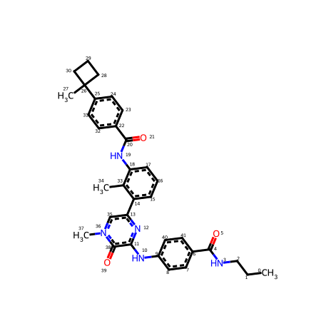 CCCNC(=O)c1ccc(Nc2nc(-c3cccc(NC(=O)c4ccc(C5(C)CCC5)cc4)c3C)cn(C)c2=O)cc1